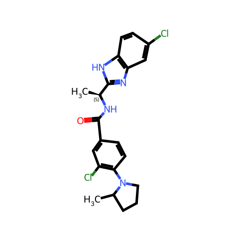 CC1CCCN1c1ccc(C(=O)N[C@@H](C)c2nc3cc(Cl)ccc3[nH]2)cc1Cl